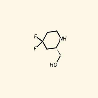 OC[C@@H]1CC(F)(F)CCN1